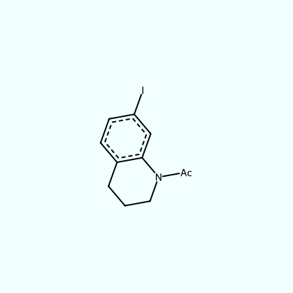 CC(=O)N1CCCc2ccc(I)cc21